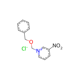 O=[N+]([O-])c1ccc[n+](COCc2ccccc2)c1.[Cl-]